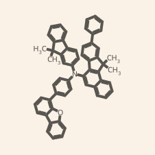 CC1(C)c2ccccc2-c2ccc(N(c3ccc(-c4cccc5c4oc4ccccc45)cc3)c3cc4ccccc4c4c3-c3ccc(-c5ccccc5)cc3C4(C)C)cc21